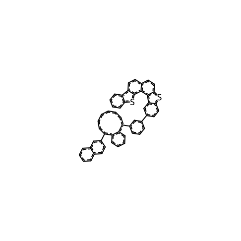 c1cccc(-c2ccc3ccccc3c2)c2ccccc2c(-c2cccc(-c3ccc4sc5ccc6ccc7c8ccccc8sc7c6c5c4c3)c2)cc1